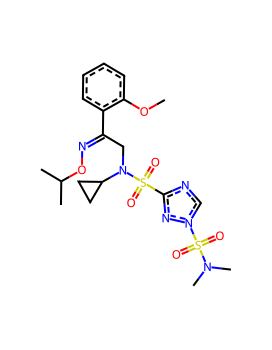 COc1ccccc1/C(CN(C1CC1)S(=O)(=O)c1ncn(S(=O)(=O)N(C)C)n1)=N/OC(C)C